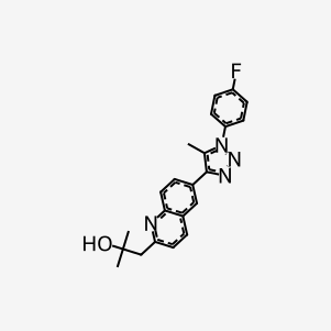 Cc1c(-c2ccc3nc(CC(C)(C)O)ccc3c2)nnn1-c1ccc(F)cc1